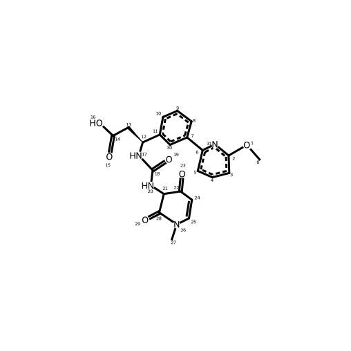 COc1cccc(-c2cccc([C@H](CC(=O)O)NC(=O)NC3C(=O)C=CN(C)C3=O)c2)n1